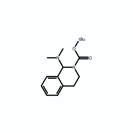 CN(C)C1c2ccccc2CCN1C(=O)OC(C)(C)C